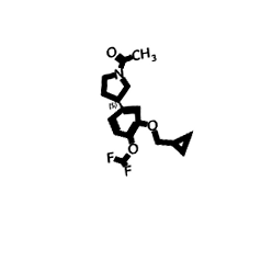 CC(=O)N1CC[C@@H](c2ccc(OC(F)F)c(OCC3CC3)c2)C1